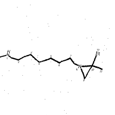 CCNCCCCCCN1CC1(C)CC